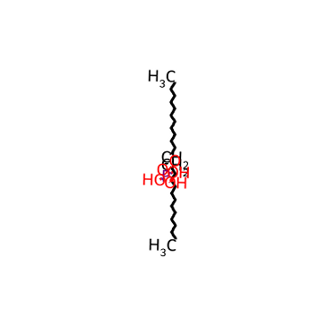 C=C.CCCCCCCCCCCCCOCCCCCCCCCCCCC.O=P(O)(O)O